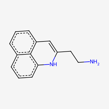 NCCC1=Cc2cccc3cccc(c23)N1